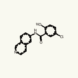 O=C(Nc1ccc2cnccc2c1)c1cc(Cl)ccc1O